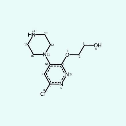 OCCOc1nnc(Cl)cc1N1CCNCC1